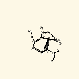 Cc1ccc(C(C)C)c2c1ncn2C